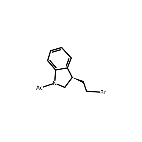 CC(=O)N1C[C@H](CCBr)c2ccccc21